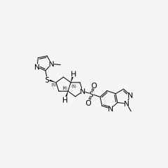 Cn1ccnc1S[C@H]1C[C@@H]2CN(S(=O)(=O)c3cnc4c(cnn4C)c3)C[C@@H]2C1